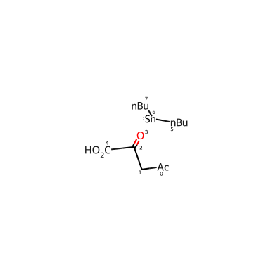 CC(=O)CC(=O)C(=O)O.CCC[CH2][Sn][CH2]CCC